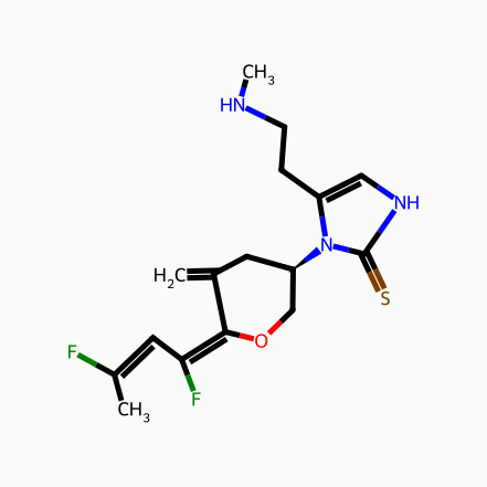 C=C1C[C@@H](n2c(CCNC)c[nH]c2=S)CO/C1=C(F)/C=C(\C)F